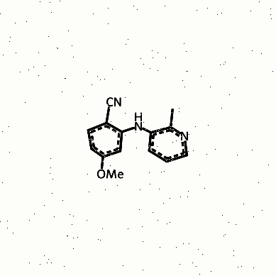 COc1ccc(C#N)c(Nc2cccnc2C)c1